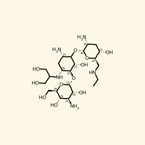 CCNC[C@H]1O[C@H](OC2[C@@H](N)C[C@@H](NC(CO)CO)[C@H](O[C@H]3O[C@H](CO)[C@@H](O)[C@H](N)[C@H]3O)[C@H]2O)[C@H](N)C[C@@H]1O